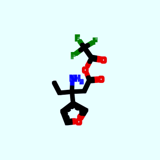 CCC(N)(CC(=O)OC(=O)C(F)(F)F)c1ccoc1